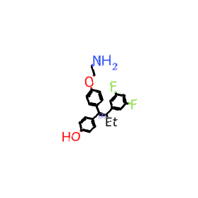 CC/C(=C(\c1ccc(O)cc1)c1ccc(OCCN)cc1)c1cc(F)cc(F)c1